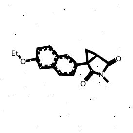 CCOc1ccc2cc(C34CC3C(=O)N(C)C4=O)ccc2c1